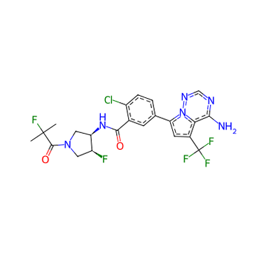 CC(C)(F)C(=O)N1C[C@H](F)[C@H](NC(=O)c2cc(-c3cc(C(F)(F)F)c4c(N)ncnn34)ccc2Cl)C1